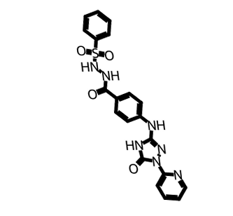 O=C(NNS(=O)(=O)c1ccccc1)c1ccc(Nc2nn(-c3ccccn3)c(=O)[nH]2)cc1